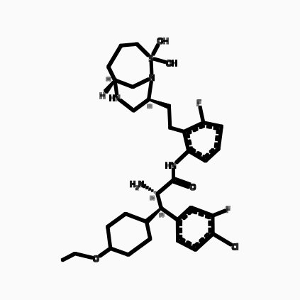 CCOC1CCC([C@H](c2ccc(Cl)c(F)c2)[C@H](N)C(=O)Nc2cccc(F)c2CC[C@H]2CN[C@@H]3CCCS(O)(O)N2C3)CC1